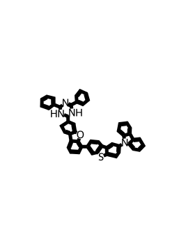 C1=c2oc3c(-c4ccc5c(c4)sc4ccc(-n6c7ccccc7c7ccccc76)cc45)cccc3c2=CCC1C1NC(c2ccccc2)=NC(c2ccccc2)N1